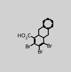 O=C(O)C1=C(Br)C(Br)=C(Br)C2Cc3ccccc3CC12